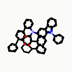 c1ccc(-c2ccc(-c3ccccc3N(c3ccc4c(c3)c3ccccc3n4-c3ccccc3)c3ccccc3-c3cccc4cccc(C5CCCCC5)c34)cc2)cc1